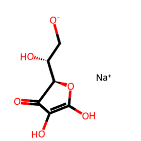 O=C1C(O)=C(O)O[C@@H]1[C@H](O)C[O-].[Na+]